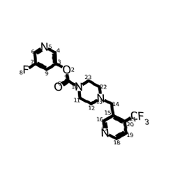 O=C(Oc1cncc(F)c1)N1CCN(Cc2cnccc2C(F)(F)F)CC1